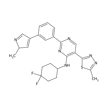 Cc1nnc(-c2cnc(-c3cccc(C4=CC(C)N=C4)c3)nc2NC2CCC(F)(F)CC2)s1